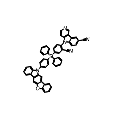 N#Cc1ccc2c(c1)c1cnccc1n2-c1ccc([Si](c2ccccc2)(c2ccccc2)c2ccc(-n3c4ccccc4c4cc5oc6ccccc6c5cc43)cc2)cc1C#N